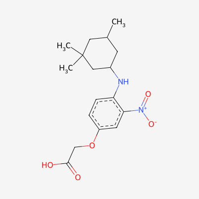 CC1CC(Nc2ccc(OCC(=O)O)cc2[N+](=O)[O-])CC(C)(C)C1